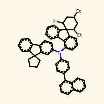 CCC1CC(CC)C2(c3ccccc3-c3c(N(c4ccc(-c5cccc6ccccc56)cc4)c4ccc5c(c4)C4(CCCC4)c4ccccc4-5)cccc32)C(CC)C1